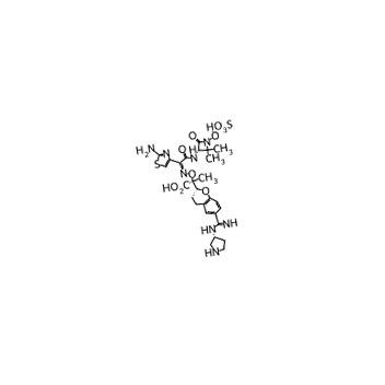 CC1(C)[C@H](NC(=O)/C(=N\O[C@](C)(C(=O)O)[C@H]2CCc3cc(C(=N)N[C@@H]4CCNC4)ccc3O2)c2csc(N)n2)C(=O)N1OS(=O)(=O)O